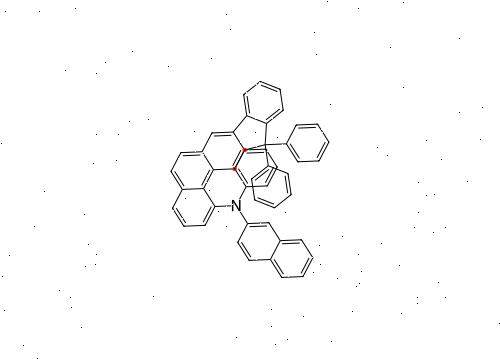 c1ccc(N(c2ccc3ccccc3c2)c2cccc3ccc4cc5c(cc4c23)C(c2ccccc2)(c2ccccc2)c2ccccc2-5)cc1